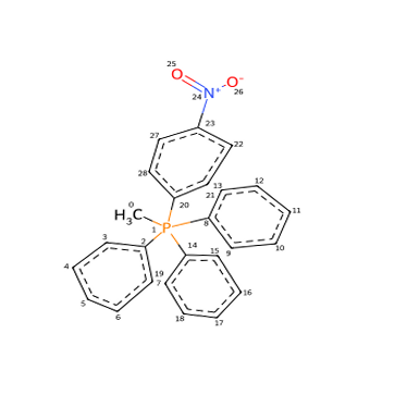 CP(c1ccccc1)(c1ccccc1)(c1ccccc1)c1ccc([N+](=O)[O-])cc1